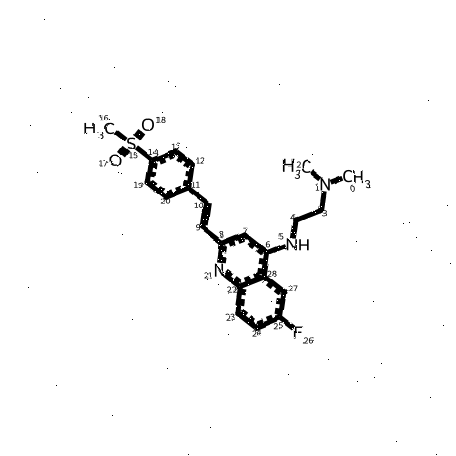 CN(C)CCNc1cc(C=Cc2ccc(S(C)(=O)=O)cc2)nc2ccc(F)cc12